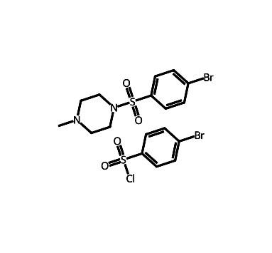 CN1CCN(S(=O)(=O)c2ccc(Br)cc2)CC1.O=S(=O)(Cl)c1ccc(Br)cc1